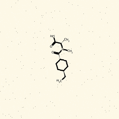 CC[C@H]1CC[C@H](C(=O)N(C)[C@@H](C)C(=O)O)CC1